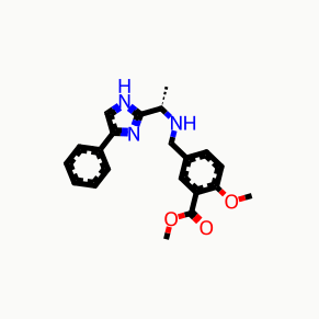 COC(=O)c1cc(CN[C@@H](C)c2nc(-c3ccccc3)c[nH]2)ccc1OC